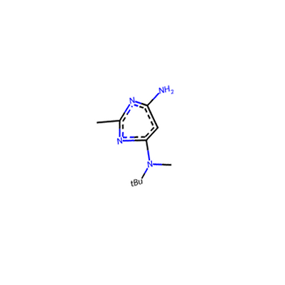 Cc1nc(N)cc(N(C)C(C)(C)C)n1